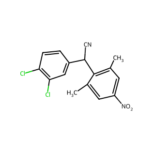 Cc1cc([N+](=O)[O-])cc(C)c1C(C#N)c1ccc(Cl)c(Cl)c1